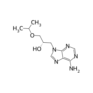 CC(C)OC[C@@H](O)Cn1cnc2c(N)ncnc21